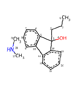 CCCC1(O)c2ccccc2-c2ccccc21.CNC